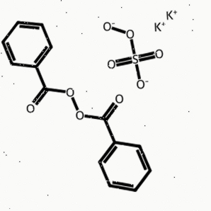 O=C(OOC(=O)c1ccccc1)c1ccccc1.O=S(=O)([O-])O[O-].[K+].[K+]